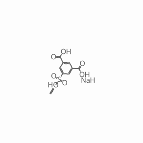 C=C.O=C(O)c1cc(C(=O)O)cc(S(=O)(=O)O)c1.[NaH]